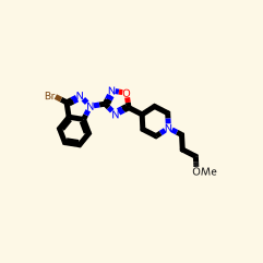 COCCCN1CCC(c2nc(-n3nc(Br)c4ccccc43)no2)CC1